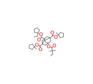 CCC1(OC(=O)C23CC4(OC(=O)C(C)(C)CC)CC(C(=O)OC5(C)CCCC5)(CC(C(=O)OC5(C)CCCC5)(C4)C2)C3)CCCC1